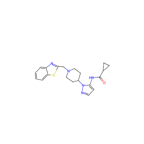 O=C(Nc1ccnn1C1CCN(Cc2nc3ccccc3s2)CC1)C1CC1